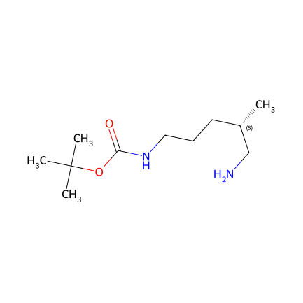 C[C@H](CN)CCCNC(=O)OC(C)(C)C